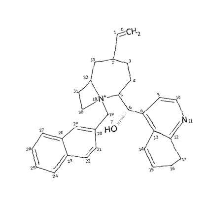 C=CC1CCC([C@@H](O)c2ccnc3c2C=CCC3)[N+]2(Cc3ccc4ccccc4c3)CCC2C1